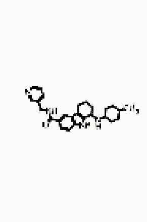 CC1CCC(NC2CCCc3c2[nH]c2ccc(C(=O)NCc4cccnc4)cc32)CC1